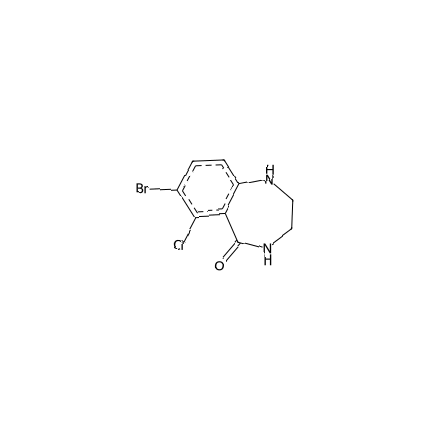 O=C1NCCNc2ccc(Br)c(Cl)c21